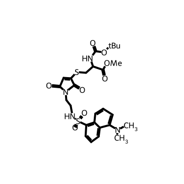 COC(=O)C(CSC1=CC(=O)N(CCNS(=O)(=O)c2cccc3c(N(C)C)cccc23)C1=O)NC(=O)OC(C)(C)C